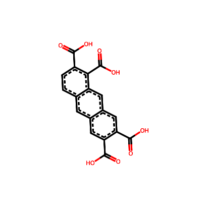 O=C(O)c1cc2cc3ccc(C(=O)O)c(C(=O)O)c3cc2cc1C(=O)O